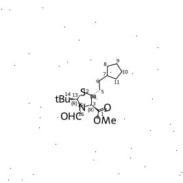 COC(=O)[C@@H]1[C@@H](CCC2CCCC2)S[C@H](C(C)(C)C)N1C=O